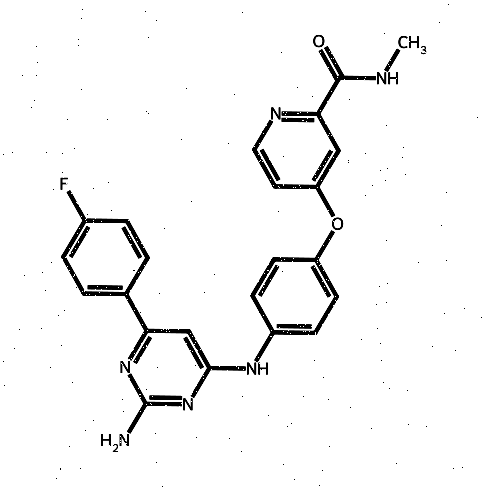 CNC(=O)c1cc(Oc2ccc(Nc3cc(-c4ccc(F)cc4)nc(N)n3)cc2)ccn1